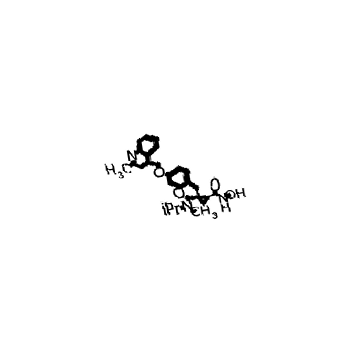 Cc1cc(COc2ccc(C[C@]3(C(=O)N(C)C(C)C)C[C@@H]3C(=O)NO)cc2)c2ccccc2n1